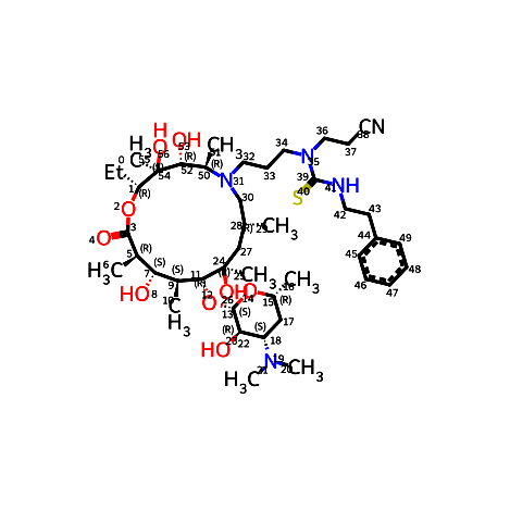 CC[C@H]1OC(=O)[C@H](C)[C@@H](O)[C@H](C)[C@@H](O[C@@H]2O[C@H](C)C[C@H](N(C)C)[C@H]2O)[C@](C)(O)C[C@@H](C)CN(CCCN(CCC#N)C(=S)NCCc2ccccc2)[C@H](C)[C@@H](O)[C@]1(C)O